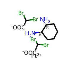 N[C@@H]1CCCC[C@H]1N.O=C([O-])C(Br)Br.O=C([O-])C(Br)Br.[Pt+2]